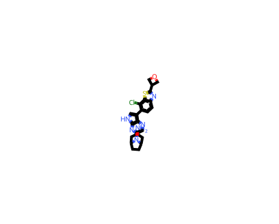 NC1CC2CCC(C1)N2c1cnc2c(-c3ccc4nc(C5COC5)sc4c3Cl)c[nH]c2n1